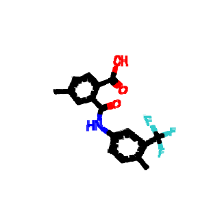 Cc1ccc(C(=O)O)c(C(=O)Nc2ccc(C)c(C(F)(F)F)c2)c1